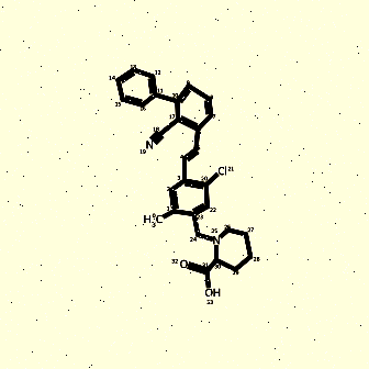 Cc1cc(C=Cc2cccc(-c3ccccc3)c2C#N)c(Cl)cc1CN1CCCCC1C(=O)O